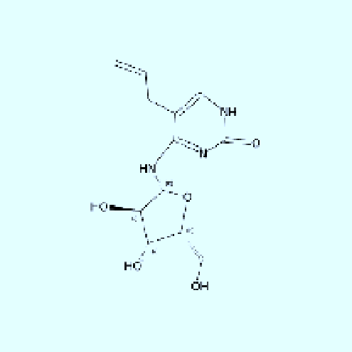 C=CCc1c[nH]c(=O)nc1N[C@@H]1O[C@H](CO)[C@H](O)[C@H]1O